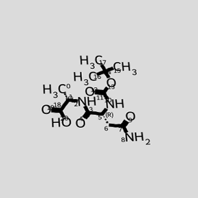 C[C@H](NC(=O)[C@@H](CC(N)=O)NC(=O)OC(C)(C)C)C(=O)O